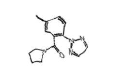 Cc1ccc(-n2nccn2)c(C(=O)N2CCCC2)c1